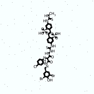 CNC(=S)Nc1ccc(/C=C/c2ccc(NC(=S)NNC(=O)C(Nc3ccc(Cl)cc3)C(=O)N/N=C/c3cc(Br)c(O)c(Br)c3)cc2S(=O)(=O)O)c(S(=O)(=O)O)c1